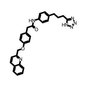 O=C(Cc1ccc(OCc2ccc3ccccc3n2)cc1)Nc1ccc(CCCc2nnn[nH]2)cc1